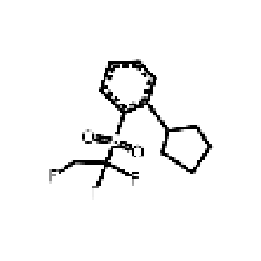 O=S(=O)(c1ccccc1C1CCCC1)C(F)(F)CF